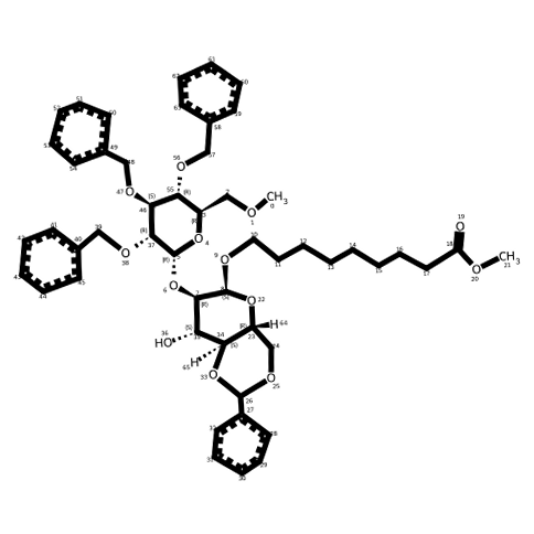 COC[C@H]1O[C@H](O[C@H]2[C@@H](OCCCCCCCCC(=O)OC)O[C@@H]3COC(c4ccccc4)O[C@H]3[C@@H]2O)[C@H](OCc2ccccc2)[C@@H](OCc2ccccc2)[C@@H]1OCc1ccccc1